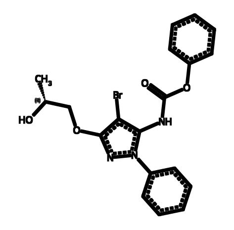 C[C@@H](O)COc1nn(-c2ccccc2)c(NC(=O)Oc2ccccc2)c1Br